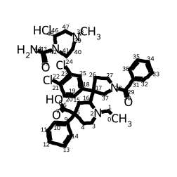 CCN1CCC(C(=O)O)(c2ccccc2)CC1C1(c2ccc(Cl)c(Cl)c2)CCN(C(=O)c2ccccc2)C1.CN1CCN(C(N)=O)CC1.Cl